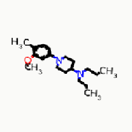 CCCN(CCC)C1CCN(c2ccc(C)c(OC)c2)CC1